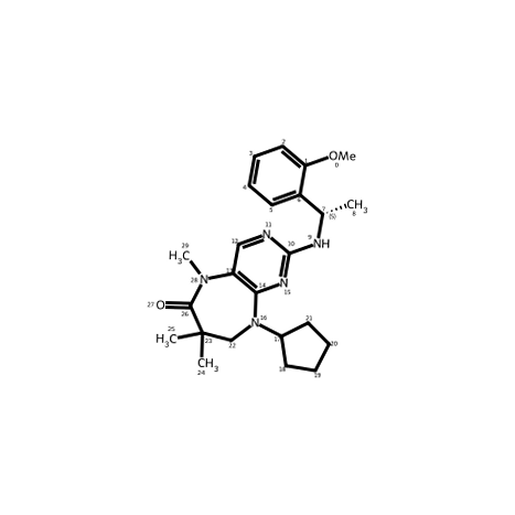 COc1ccccc1[C@H](C)Nc1ncc2c(n1)N(C1CCCC1)CC(C)(C)C(=O)N2C